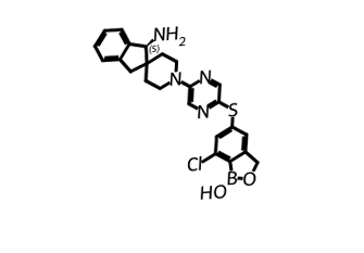 N[C@@H]1c2ccccc2CC12CCN(c1cnc(Sc3cc(Cl)c4c(c3)COB4O)cn1)CC2